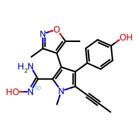 CC#Cc1c(-c2ccc(O)cc2)c(-c2c(C)noc2C)c(/C(N)=N/O)n1C